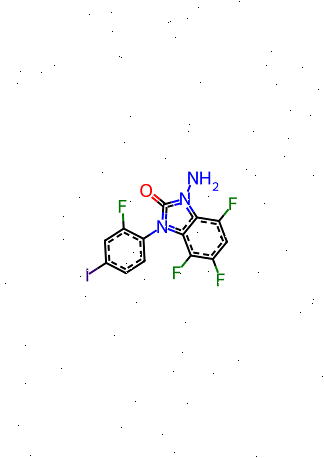 Nn1c(=O)n(-c2ccc(I)cc2F)c2c(F)c(F)cc(F)c21